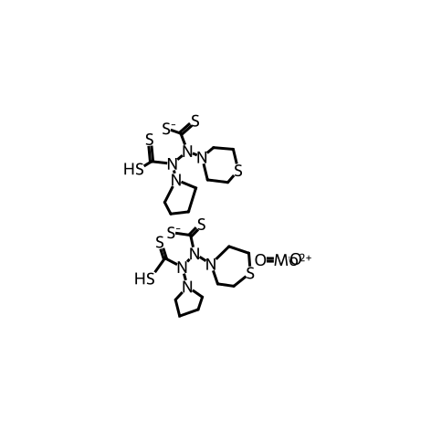 S=C([S-])N(N1CCSCC1)N(C(=S)S)N1CCCC1.S=C([S-])N(N1CCSCC1)N(C(=S)S)N1CCCC1.[O]=[Mo+2]=[O]